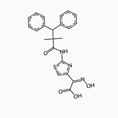 CC(C)(C(=O)Nc1nc(C(=NO)C(=O)O)cs1)C(c1ccccc1)c1ccccc1